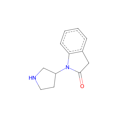 O=C1Cc2ccccc2N1C1CCNC1